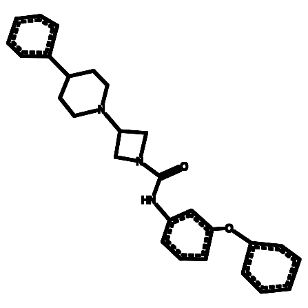 O=C(Nc1cccc(Oc2ccccc2)c1)N1CC(N2CCC(c3ccccc3)CC2)C1